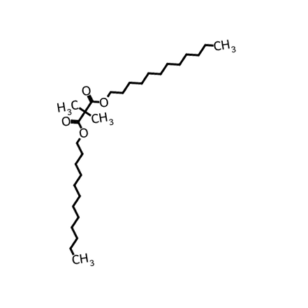 CCCCCCCCCCCCOC(=O)C(C)(C)C(=O)OCCCCCCCCCCCC